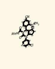 CNC(=O)N1C(=O)N(c2cncc(Cl)c2)C2=C(C(=O)CC2)C1c1ccc(C#N)cc1[S+](C)[O-]